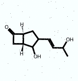 CC(O)C=CC1C[C@@H]2C(=O)C[C@H]2C1O